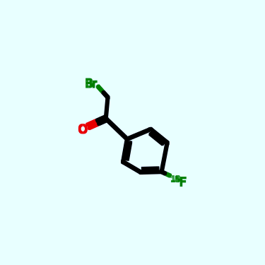 O=C(CBr)c1ccc([18F])cc1